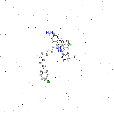 CCOC(=O)/C(=C(\CBr)Nc1cccc(C(F)(F)F)c1)[C@H](NCCCCCN(C)CCCOc1ccc(Br)cc1)c1ccc(N)cc1